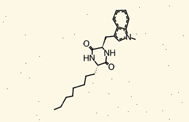 CCCCCCCC[C@@H]1NC(=O)[C@@H](Cc2cn(C)c3ccccc23)NC1=O